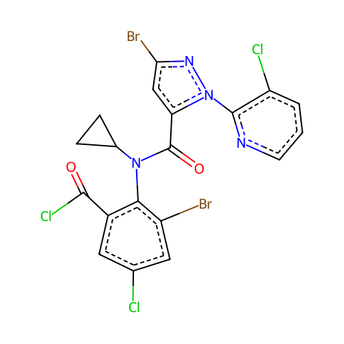 O=C(Cl)c1cc(Cl)cc(Br)c1N(C(=O)c1cc(Br)nn1-c1ncccc1Cl)C1CC1